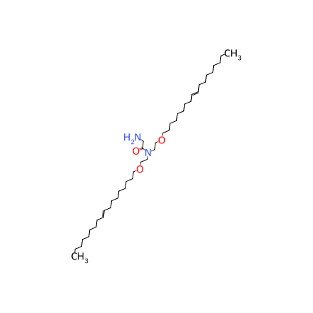 CCCCCCCCC=CCCCCCCCCOCCN(CCOCCCCCCCCC=CCCCCCCCC)C(=O)CN